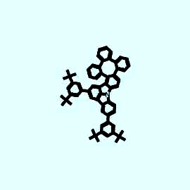 CC(C)(C)c1cc(-c2ccc3c(c2)c2cc(-c4cc(C(C)(C)C)cc(C(C)(C)C)c4)cc4c5c6c(ccc5n3c24)-c2ccccc2-c2ccccc2-c2ccccc2-6)cc(C(C)(C)C)c1